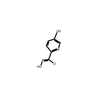 O/N=C(\Cl)c1ccc(O)cn1